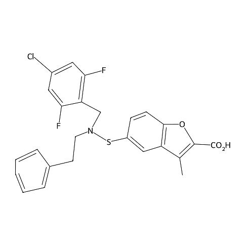 Cc1c(C(=O)O)oc2ccc(SN(CCc3ccccc3)Cc3c(F)cc(Cl)cc3F)cc12